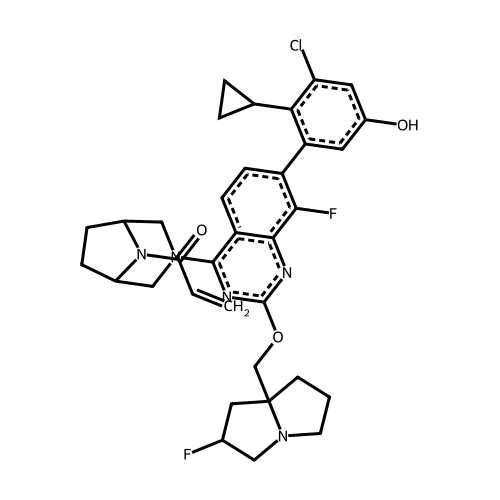 C=CC(=O)N1C2CCC1CN(c1nc(OCC34CCCN3CC(F)C4)nc3c(F)c(-c4cc(O)cc(Cl)c4C4CC4)ccc13)C2